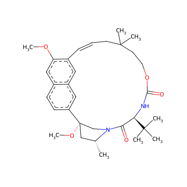 COc1cc2ccc3cc2cc1C=CCC(C)(C)CCOC(=O)N[C@@H](C(C)(C)C)C(=O)N1C[C@@]3(OC)C[C@H]1C